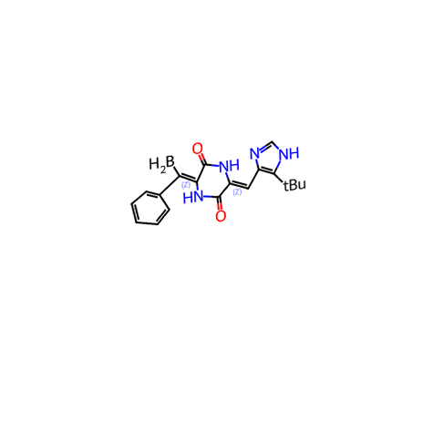 B/C(c1ccccc1)=c1/[nH]c(=O)/c(=C/c2nc[nH]c2C(C)(C)C)[nH]c1=O